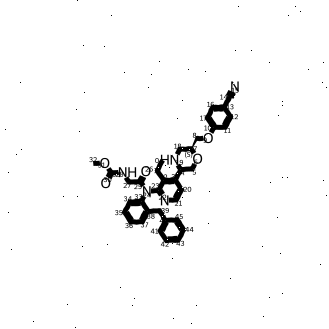 CCc1c(C2CO[C@H](COc3ccc(C#N)cc3)CN2)ccnc1N(C(=O)CNC(=O)OC)c1ccccc1Cc1ccccc1